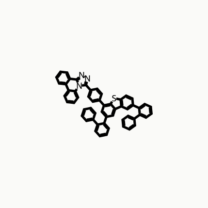 c1ccc(-c2ccccc2-c2ccc3sc4c(-c5ccc(-c6nnc7c8ccccc8c8ccccc8n67)cc5)cc(-c5ccccc5-c5ccccc5)cc4c3c2)cc1